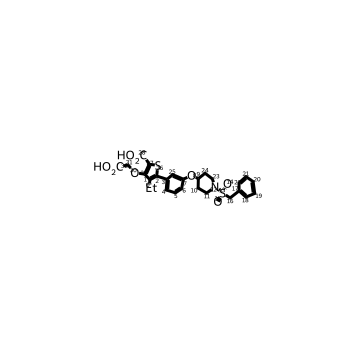 CCc1c(-c2cccc(OC3CCN(S(=O)(=O)Cc4ccccc4)CC3)c2)sc(C(=O)O)c1OCC(=O)O